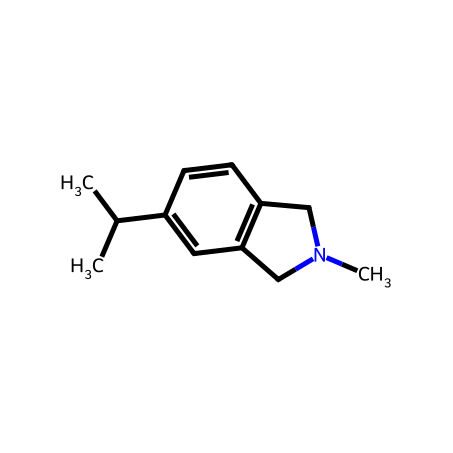 CC(C)c1ccc2c(c1)CN(C)C2